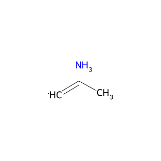 N.[CH]=CC